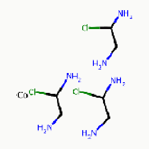 NCC(N)Cl.NCC(N)Cl.NCC(N)Cl.[Co]